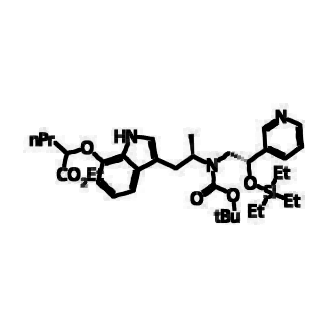 CCCC(Oc1cccc2c(C[C@@H](C)N(C[C@@H](O[Si](CC)(CC)CC)c3cccnc3)C(=O)OC(C)(C)C)c[nH]c12)C(=O)OCC